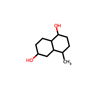 CC1CCC(O)C2CCC(O)CC12